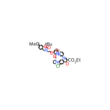 CCOC(=O)c1cn(-c2ccc(Br)nc2)c2cc(N3CCC[C@@H]3COc3ncccc3OCCN(Cc3ccc(OC)cc3)C(=O)OC(C)(C)C)c(Cl)cc2c1=O